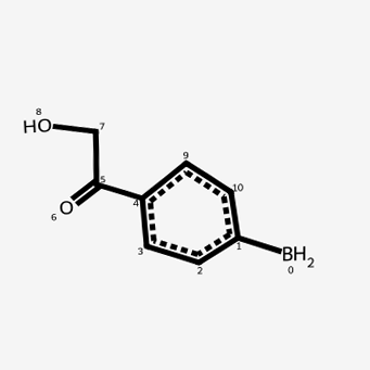 Bc1ccc(C(=O)CO)cc1